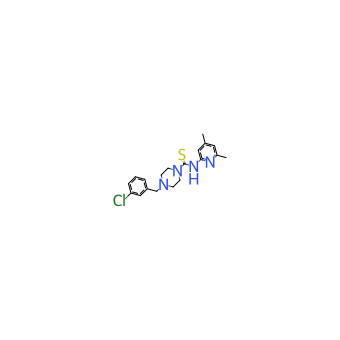 Cc1cc(C)nc(NC(=S)N2CCN(Cc3cccc(Cl)c3)CC2)c1